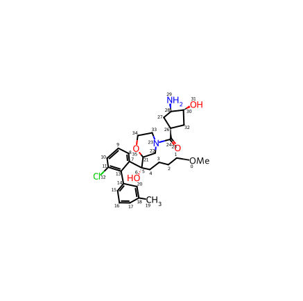 COCCCC[C@@](O)(c1cccc(Cl)c1-c1cccc(C)c1)C1CN(C(=O)[C@H]2C[C@@H](N)[C@@H](O)C2)CCO1